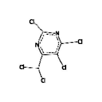 Clc1nc(Cl)c(Cl)c(C(Cl)Cl)n1